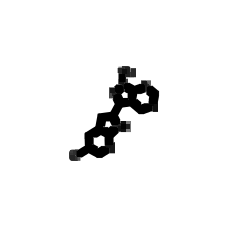 CC(C)(C)n1nc(-c2cc3cc(Cl)cnc3[nH]2)c2cncnc21